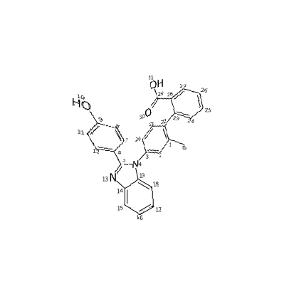 Cc1cc(-n2c(-c3ccc(O)cc3)nc3ccccc32)ccc1-c1ccccc1C(=O)O